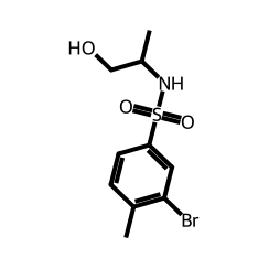 Cc1ccc(S(=O)(=O)NC(C)CO)cc1Br